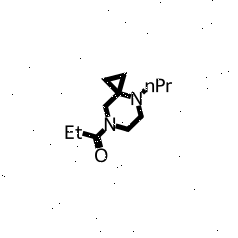 CCCN1CCN(C(=O)CC)CC12CC2